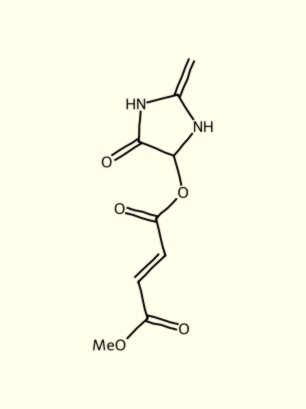 C=C1NC(=O)C(OC(=O)/C=C/C(=O)OC)N1